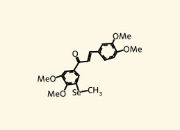 COc1ccc(/C=C/C(=O)c2cc(OC)c(OC)c([Se]C)c2)cc1OC